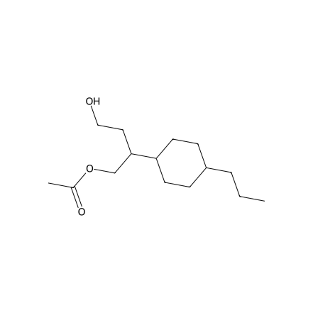 CCCC1CCC(C(CCO)COC(C)=O)CC1